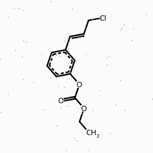 CCOC(=O)Oc1cccc(C=CCCl)c1